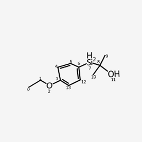 CCOc1ccc([SiH2]C(C)(C)O)cc1